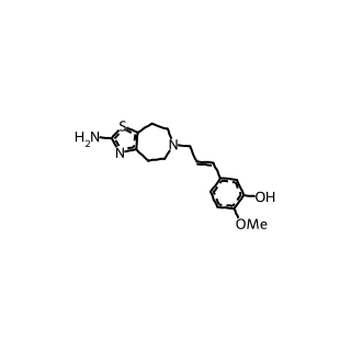 COc1ccc(/C=C/CN2CCc3nc(N)sc3CC2)cc1O